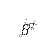 COc1cc2cc(=O)ccc-2c(OC)n1CC(C)(C)C